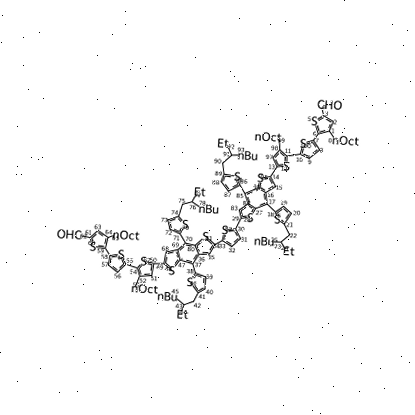 CCCCCCCCc1cc(C=O)sc1-c1ccc(-c2sc(-c3cc4c(-c5ccc(CC(CC)CCCC)s5)c5sc(-c6ccc(-c7cc8c(-c9ccc(CC(CC)CCCC)s9)c9sc(-c%10cc(CCCCCCCC)c(-c%11ccc(-c%12sc(C=O)cc%12CCCCCCCC)s%11)s%10)cc9c(-c9ccc(CC(CC)CCCC)s9)c8s7)s6)cc5c(-c5ccc(CC(CC)CCCC)s5)c4s3)cc2CCCCCCCC)s1